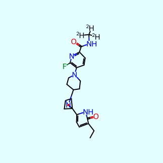 [2H]C([2H])([2H])NC(=O)c1ccc(N2CCC(N3CC4(c5ccc(CC)c(=O)[nH]5)CC3C4)CC2)c(F)n1